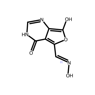 O=c1[nH]cnc2c(O)oc(/C=N/O)c12